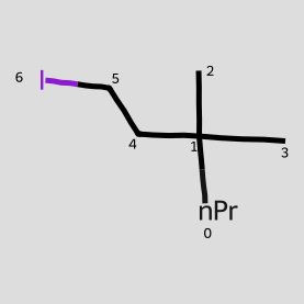 CCCC(C)(C)CCI